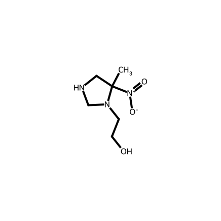 CC1([N+](=O)[O-])CNCN1CCO